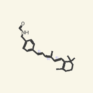 CC1=C(/C=C/C(C)=C/C=C/c2ccc(CNC=O)cc2)C(C)(C)CCC1